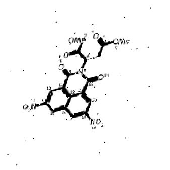 COC(=O)C[C@@H](C(=O)OC)N1C(=O)c2cc([N+](=O)[O-])cc3cc([N+](=O)[O-])cc(c23)C1=O